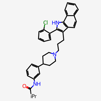 CC(C)C(=O)Nc1cccc(C2CCN(CCCc3c(-c4ccccc4Cl)[nH]c4c3ccc3ccccc34)CC2)c1